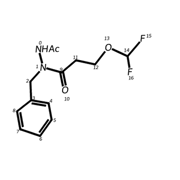 CC(=O)NN(Cc1ccccc1)C(=O)CCOC(F)F